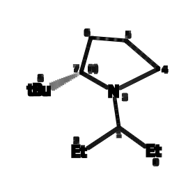 CCC(CC)N1CCC[C@H]1C(C)(C)C